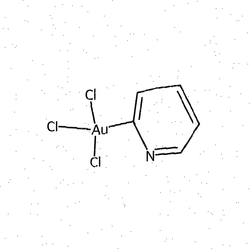 [Cl][Au]([Cl])([Cl])[c]1ccccn1